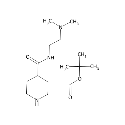 CC(C)(C)OC=O.CN(C)CCNC(=O)C1CCNCC1